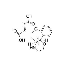 O=C(O)C=CC(=O)O.c1ccc2c(c1)OCC[C@@H]1NCCO[C@H]21